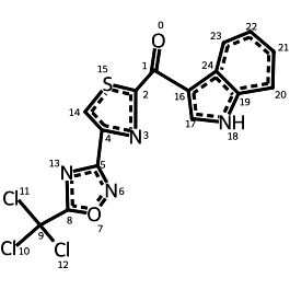 O=C(c1nc(-c2noc(C(Cl)(Cl)Cl)n2)cs1)c1c[nH]c2ccccc12